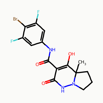 CC12CCCN1NC(=O)C(C(=O)Nc1cc(F)c(Br)c(F)c1)=C2O